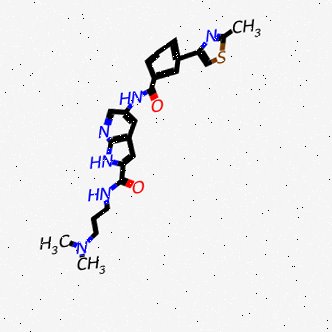 Cc1nc(-c2cccc(C(=O)Nc3cnc4[nH]c(C(=O)NCCCN(C)C)cc4c3)c2)cs1